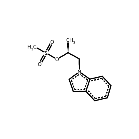 C[C@@H](Cn1ccc2ccccc21)OS(C)(=O)=O